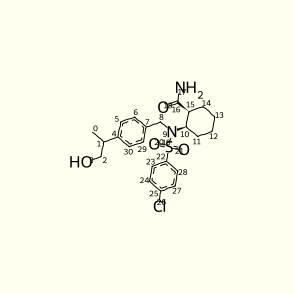 CC(CO)c1ccc(CN([C@@H]2CCCC[C@@H]2C(N)=O)S(=O)(=O)c2ccc(Cl)cc2)cc1